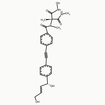 CNC(=O)[C@@](C)(C(=O)NO)N(C)C(=O)c1ccc(C#Cc2ccc([C@H](O)/C=C/CO)cc2)cc1